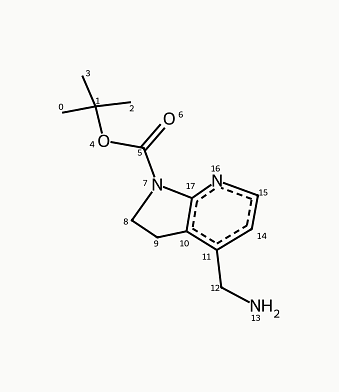 CC(C)(C)OC(=O)N1CCc2c(CN)ccnc21